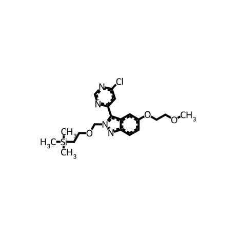 COCCOc1ccc2nn(COCC[Si](C)(C)C)c(-c3cc(Cl)ncn3)c2c1